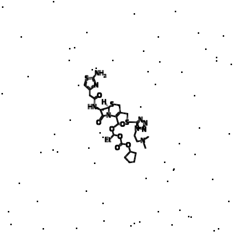 CCC(OC(=O)OC1CCCC1)OC(=O)C1=C(CSc2nnnn2CCN(C)C)CS[C@@H]2[C@H](NC(=O)Cc3csc(N)n3)C(=O)N12